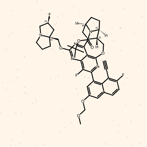 C#Cc1c(F)ccc2cc(OCOC)cc(-c3nc4c5c(nc(OC[C@@]67CCCN6C[C@@H](F)C7)nc5c3F)N3C[C@H]5CC[C@@H]([C@@H]3CO4)N5C(=O)OC(C)(C)C)c12